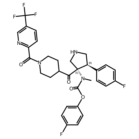 CN(C(=O)Oc1ccc(F)cc1)[C@]1(C(=O)C2CCN(C(=O)c3ccc(C(F)(F)F)cn3)CC2)CNC[C@H]1c1ccc(F)cc1